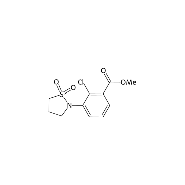 COC(=O)c1cccc(N2CCCS2(=O)=O)c1Cl